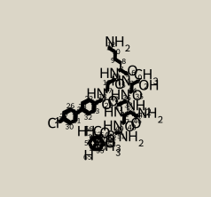 CC(O)[C@H](NC(=O)[C@H](CCCCN)NC(=O)CCNC(=O)c1ccc(-c2ccc(Cl)cc2)cc1)C(=O)N[C@@H](N)C(=O)NC(CC(N)=O)C(=O)N[C@@H](N)B1OC2C[C@@H]3C[C@@H](C3(C)C)[C@]2(C)O1